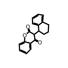 O=C1Oc2ccccc2C(=O)C1C1CCCc2ccccc21